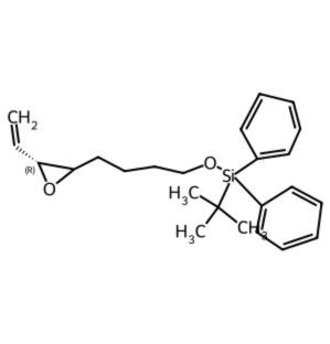 C=C[C@H]1OC1CCCCO[Si](c1ccccc1)(c1ccccc1)C(C)(C)C